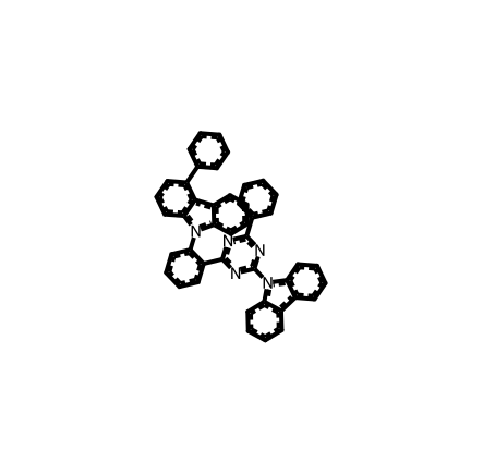 c1ccc(-c2nc(-c3ccccc3-n3c4ccccc4c4c(-c5ccccc5)cccc43)nc(-n3c4ccccc4c4ccccc43)n2)cc1